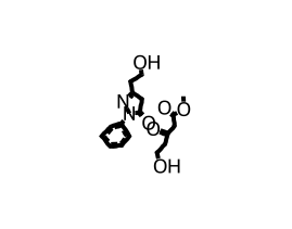 COC(=O)CC(=O)CCO.O=C1CC(CCO)=NN1c1ccccc1